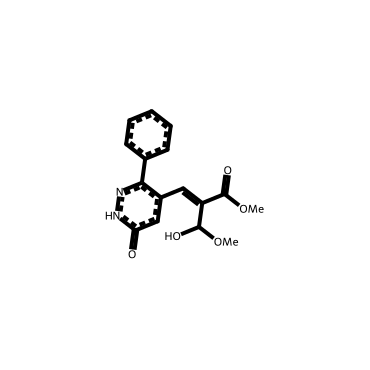 COC(=O)/C(=C/c1cc(=O)[nH]nc1-c1ccccc1)C(O)OC